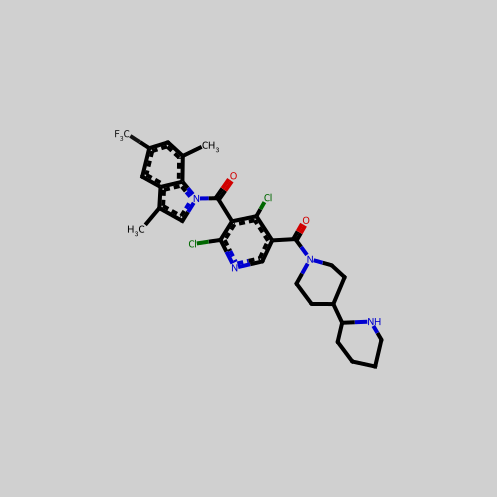 Cc1cn(C(=O)c2c(Cl)ncc(C(=O)N3CCC(C4CCCCN4)CC3)c2Cl)c2c(C)cc(C(F)(F)F)cc12